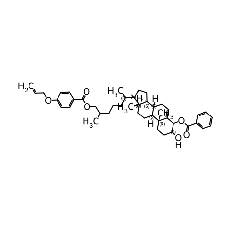 C=CCOc1ccc(C(=O)OCC(C)CCC[C@@H](C)[C@H]2CC[C@H]3[C@@H]4CC=C5C(OC(=O)c6ccccc6)[C@@H](O)CC[C@]5(C)[C@H]4CC[C@]23C)cc1